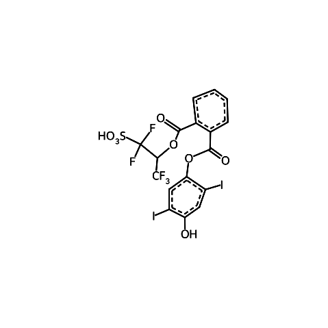 O=C(Oc1cc(I)c(O)cc1I)c1ccccc1C(=O)OC(C(F)(F)F)C(F)(F)S(=O)(=O)O